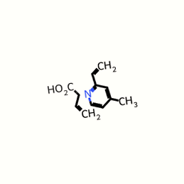 C=CCC(=O)O.C=Cc1cc(C)ccn1